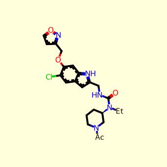 CCN(C(=O)NCc1cc2cc(Cl)c(OCc3ccon3)cc2[nH]1)[C@@H]1CCCN(C(C)=O)C1